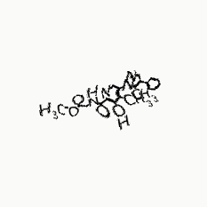 CCOC(=O)CNC(=O)c1ncc(-n2ncc(-c3ccccc3)c2C)c(C)c1O